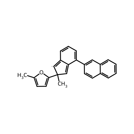 Cc1ccc(C2(C)[C]=c3cccc(-c4ccc5ccccc5c4)c3=C2)o1